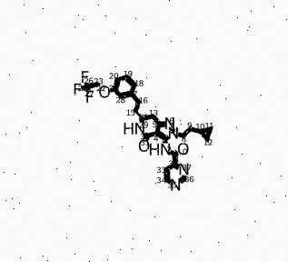 O=C(Nc1c2c(nn1CCC1CC1)C[C@H](CCc1cccc(OCC(F)(F)F)c1)NC2=O)c1ccncn1